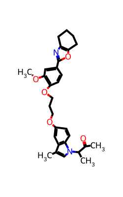 COc1cc(-c2nc3c(o2)CCCC3)ccc1OCCCOc1ccc2c(c1)c(C)cn2C(C)C(C)=O